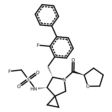 O=C([C@H]1CCCO1)N1CC2(CC2)[C@H](NS(=O)(=O)CF)[C@@H]1Cc1cccc(-c2ccccc2)c1F